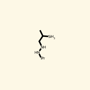 CC([SiH3])CNNC(C)C